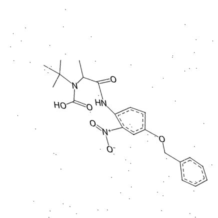 CC(C(=O)Nc1ccc(OCc2ccccc2)cc1[N+](=O)[O-])N(C(=O)O)C(C)(C)C